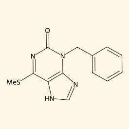 CSc1nc(=O)n(Cc2ccccc2)c2nc[nH]c12